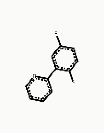 Fc1ccc(F)c(-c2bcccc2)c1